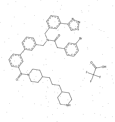 O=C(Cc1cccc(Br)c1)N(Cc1cccc(-c2cccc(C(=O)N3CCC(CCCC4CCNCC4)CC3)c2)c1)Cc1cccc(-c2csnn2)c1.O=C(O)C(F)(F)F